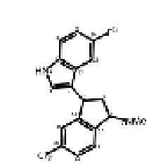 CNC1CC(c2c[nH]c3ccc(F)cc23)c2cc(Cl)ccc21